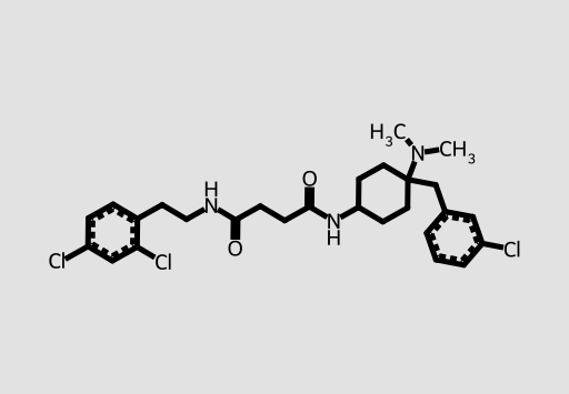 CN(C)C1(Cc2cccc(Cl)c2)CCC(NC(=O)CCC(=O)NCCc2ccc(Cl)cc2Cl)CC1